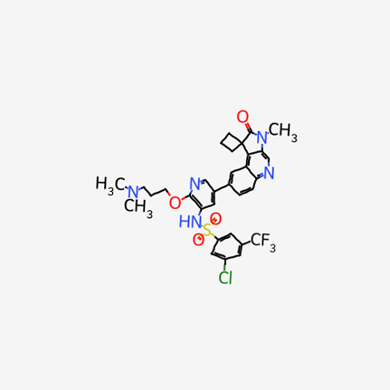 CN(C)CCCOc1ncc(-c2ccc3ncc4c(c3c2)C2(CCC2)C(=O)N4C)cc1NS(=O)(=O)c1cc(Cl)cc(C(F)(F)F)c1